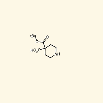 CC(C)(C)OC(=O)C1(C(=O)O)CCNCC1